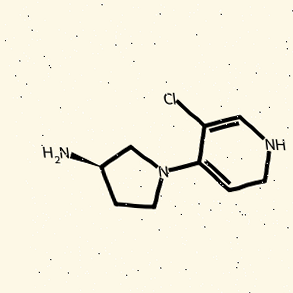 N[C@@H]1CCN(C2=CCNC=C2Cl)C1